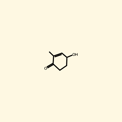 CC1=CC(O)CCC1=O